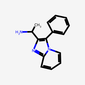 CC(N)c1nc2ccccn2c1-c1ccccc1